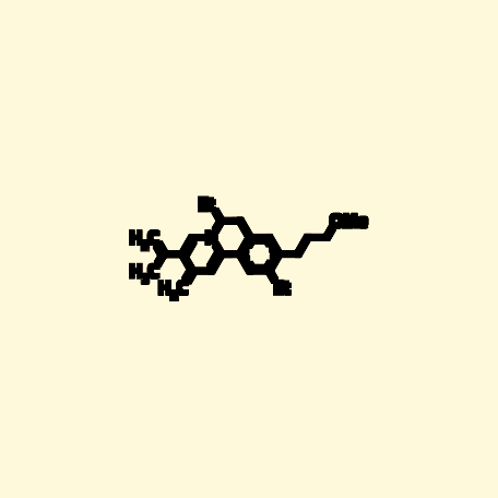 C=C(C)C1=CN2C(=CC1=C)c1cc(CC)c(CCCOC)cc1CC2CC